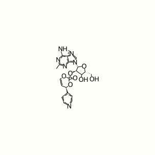 Cc1nc(N)c2ncn([C@@H]3O[C@H](CO)[C@@H](O)[C@H]3OP3(=O)OC=C[C@H](c4ccncc4)O3)c2n1